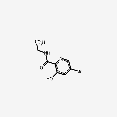 O=C(O)CNC(=O)c1ncc(Br)cc1O